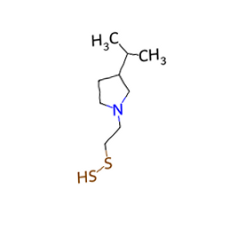 CC(C)C1CCN(CCSS)C1